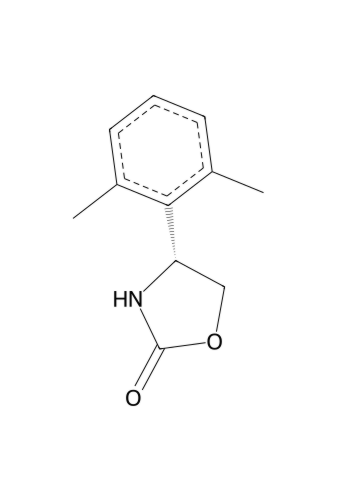 Cc1cccc(C)c1[C@@H]1COC(=O)N1